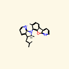 Cc1ccc2c(oc3ncccc32)c1N1c2ncccc2C(CC(C)C)[C@@H]1C